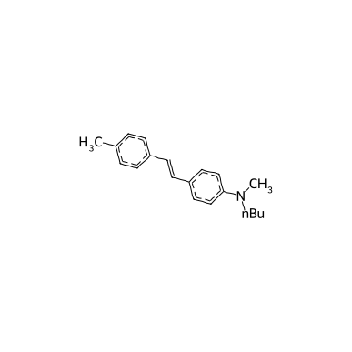 CCCCN(C)c1ccc(C=Cc2ccc(C)cc2)cc1